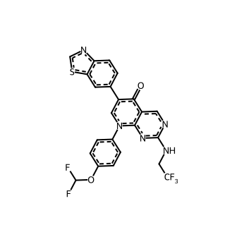 O=c1c(-c2ccc3ncsc3c2)cn(-c2ccc(OC(F)F)cc2)c2nc(NCC(F)(F)F)ncc12